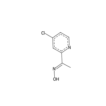 C/C(=N\O)c1cc(Cl)ccn1